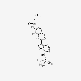 CCCS(=O)(=O)Nc1ccc(F)c(NC(=O)c2csc3c(NCC(C)(C)C)ncnc23)c1F